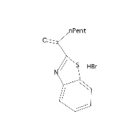 Br.CCCCCC(=O)c1nc2ccccc2s1